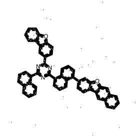 c1ccc2cc3c(cc2c1)oc1cc(-c2cccc4c(-c5nc(-c6ccc7oc8ccccc8c7c6)nc(-c6cccc7ccccc67)n5)cccc24)ccc13